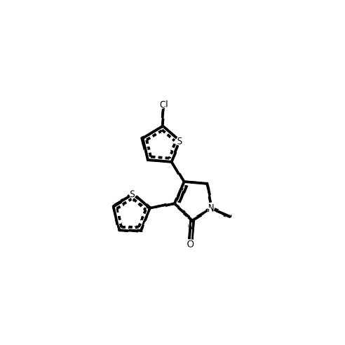 CN1CC(c2ccc(Cl)s2)=C(c2cccs2)C1=O